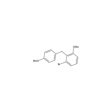 COc1ccc([CH]c2c(Br)cccc2OC)cc1